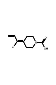 C=CC(Cl)=C1CCN(C(=O)O)CC1